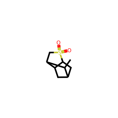 CC1C2CC3C1CS(=O)(=O)C3C2